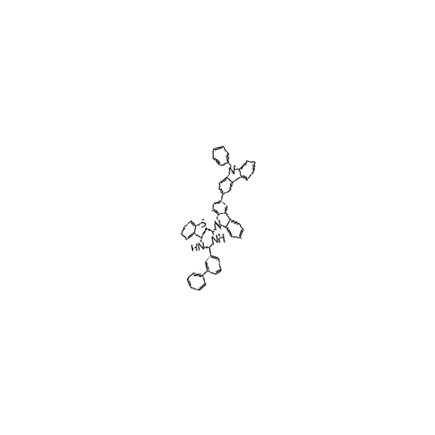 c1ccc(-c2cccc(C3Nc4c(sc5ccccc45)C(n4c5ccccc5c5cc(-c6ccc7c(c6)c6ccccc6n7-c6ccccc6)ccc54)N3)c2)cc1